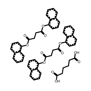 O=C(CCC(=O)Oc1cccc2ccccc12)Oc1cccc2ccccc12.O=C(CCC(=O)Oc1cccc2ccccc12)Oc1cccc2ccccc12.O=C(O)CCCCC(=O)O